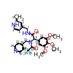 C=C/C=C(\C=C/N)CNC(=O)C(c1cc(OC)c(OC)c(OC)c1)N(Cc1ccncc1)C(=O)C(F)(F)F